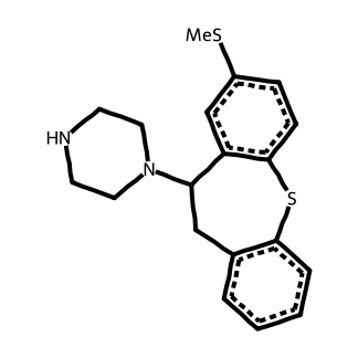 CSc1ccc2c(c1)C(N1CCNCC1)Cc1ccccc1S2